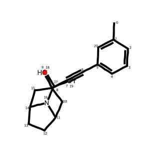 Cc1cccc(C#CC2(O)CC3CCC(C2)N3C(=O)C(C)C)c1